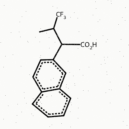 CC(C(C(=O)O)c1ccc2ccccc2c1)C(F)(F)F